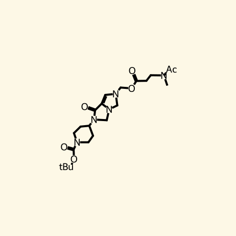 CC(=O)N(C)CCC(=O)OCN1C=C2C(=O)N(C3CCN(C(=O)OC(C)(C)C)CC3)CN2C1